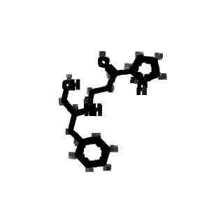 O=C(CCNC(CO)Cc1ccccc1)c1ccc[nH]1